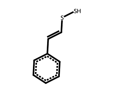 SSC=Cc1ccccc1